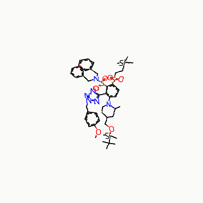 COc1ccc(Cn2nnc(-c3c(N4CCC(CO[Si](C)(C)C(C)(C)C)CC4C)ccc(S(=O)(=O)CC[Si](C)(C)C)c3S(=O)(=O)N(Cc3ccccc3)Cc3ccccc3)n2)cc1